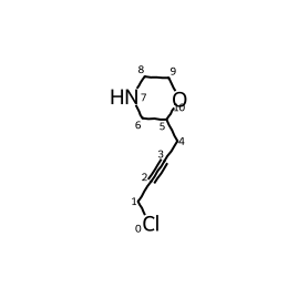 ClCC#CCC1CNCCO1